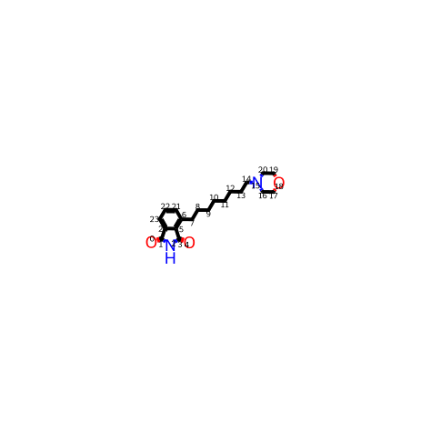 O=C1NC(=O)c2c(CCCCCCCCN3CCOCC3)cccc21